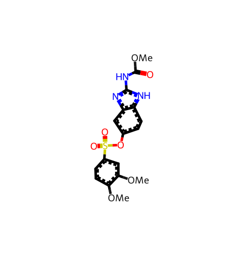 COC(=O)Nc1nc2cc(OS(=O)(=O)c3ccc(OC)c(OC)c3)ccc2[nH]1